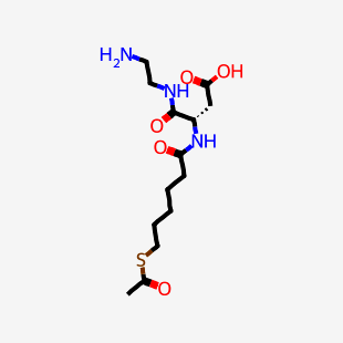 CC(=O)SCCCCCC(=O)N[C@@H](CC(=O)O)C(=O)NCCN